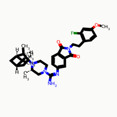 COc1ccc(CCN2C(=O)c3ccc(N=C(N)N4CCN([C@H]5C[C@@H]6C[C@@H]([C@H]5C)C6(C)C)[C@@H](C)C4)cc3C2=O)c(F)c1